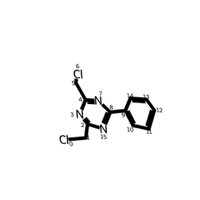 ClCc1nc(CCl)nc(-c2ccccc2)n1